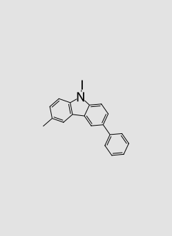 Cc1ccc2c(c1)c1cc(-c3ccccc3)ccc1n2I